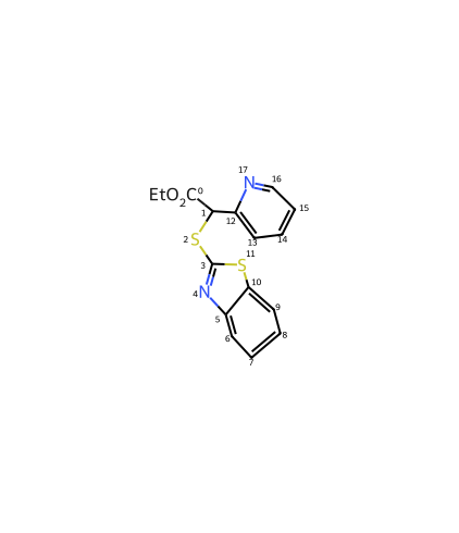 CCOC(=O)C(Sc1nc2ccccc2s1)c1ccccn1